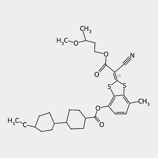 CCC1CCC(C2CCC(C(=O)Oc3ccc(C)c4c3S/C(=C(/C#N)C(=O)OCCC(C)OC)S4)CC2)CC1